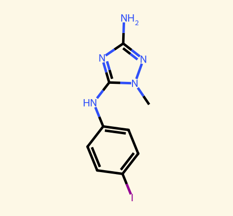 Cn1nc(N)nc1Nc1ccc(I)cc1